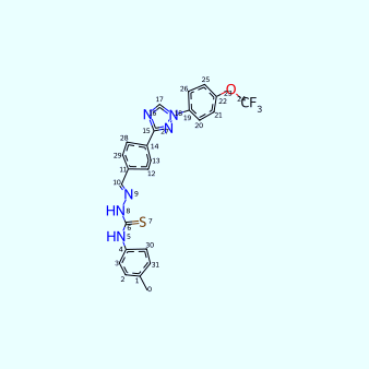 Cc1ccc(NC(=S)N/N=C/c2ccc(-c3ncn(-c4ccc(OC(F)(F)F)cc4)n3)cc2)cc1